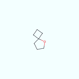 C1COC2(C1)CCC2